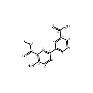 COC(=O)c1nc(-c2cccc(C(=O)O)c2)cnc1N